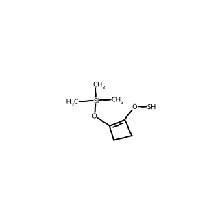 C[Si](C)(C)OC1=C(OS)CC1